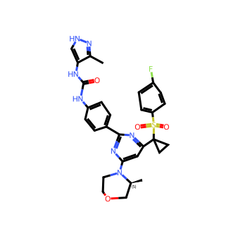 Cc1n[nH]cc1NC(=O)Nc1ccc(-c2nc(N3CCOC[C@@H]3C)cc(C3(S(=O)(=O)c4ccc(F)cc4)CC3)n2)cc1